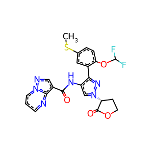 CSc1ccc(OC(F)F)c(-c2nn([C@@H]3CCOC3=O)cc2NC(=O)c2cnn3cccnc23)c1